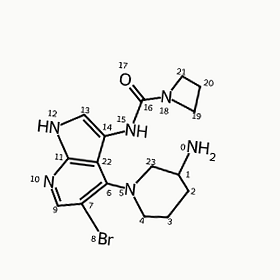 NC1CCCN(c2c(Br)cnc3[nH]cc(NC(=O)N4CCC4)c23)C1